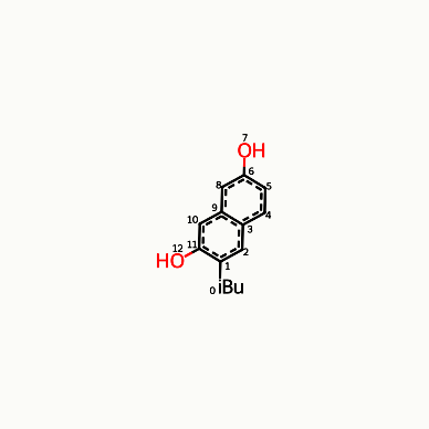 CCC(C)c1cc2ccc(O)cc2cc1O